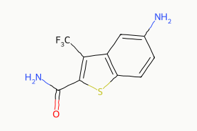 NC(=O)c1sc2ccc(N)cc2c1C(F)(F)F